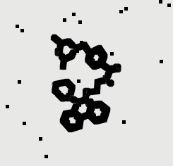 CC1CN(Cc2ccc(C(=O)N(C)CCOC(=O)N(c3ccccc3-c3ccccc3)N3CC[CH]CC3)cc2)CC(C)O1